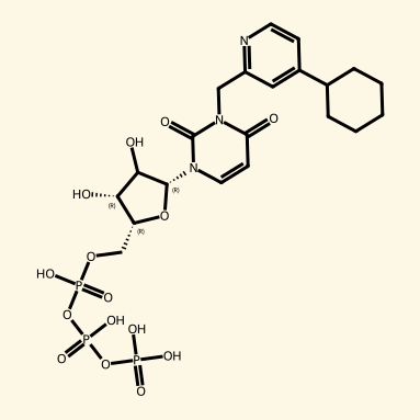 O=c1ccn([C@@H]2O[C@H](COP(=O)(O)OP(=O)(O)OP(=O)(O)O)[C@H](O)C2O)c(=O)n1Cc1cc(C2CCCCC2)ccn1